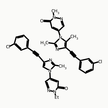 CCn1ncc(-n2cc(C#Cc3cccc(Cl)c3)nc2C)cc1=O.Cc1nc(C#Cc2cccc(Cl)c2)c(C)n1-c1cnn(C)c(=O)c1